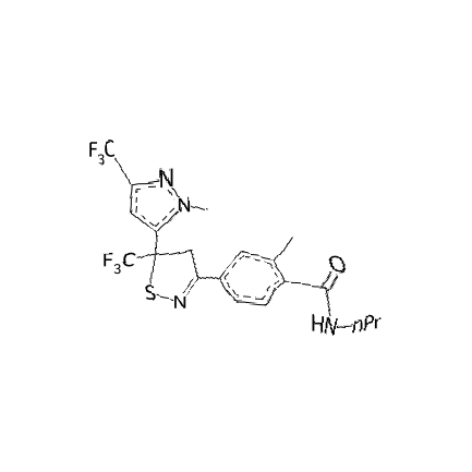 CCCNC(=O)c1ccc(C2=NSC(c3cc(C(F)(F)F)nn3C)(C(F)(F)F)C2)cc1C